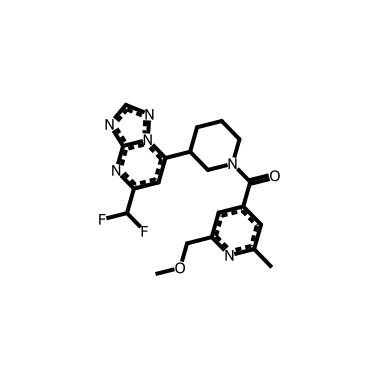 COCc1cc(C(=O)N2CCCC(c3cc(C(F)F)nc4ncnn34)C2)cc(C)n1